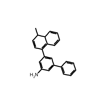 CC1C=CC(c2cc(N)cc(-c3ccccc3)c2)=C2C=CC=CC21